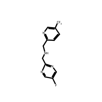 Fc1cnc(CNCc2ccc(C(F)(F)F)cn2)nc1